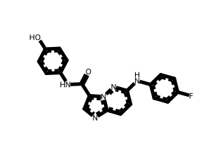 O=C(Nc1ccc(O)cc1)c1cnc2ccc(Nc3ccc(F)cc3)nn12